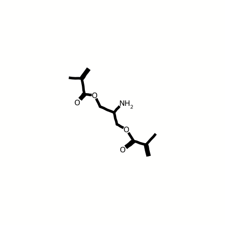 C=C(C)C(=O)OCC(N)COC(=O)C(=C)C